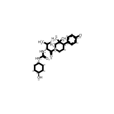 CC(C)[C@@H](NC(=O)N[C@H]1CC[C@H](O)CC1)C(=O)N1CCC(c2ccc(Cl)cc2)C(C)(C)C1